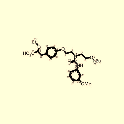 CCCCOCCN(CCOc1ccc(CC(OCC)C(=O)O)cc1)C(=O)Nc1cccc(OC)c1